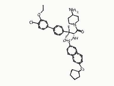 CCOc1cc(-c2ccc(C(F)(F)[C@@H](N[S+]([O-])c3ccc4cc(OC5CCCC5)ccc4c3)C(=O)N3CCC(N)CC3)cc2)ccc1Cl